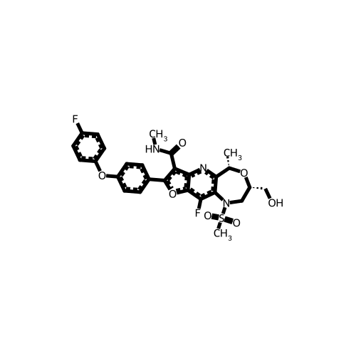 CNC(=O)c1c(-c2ccc(Oc3ccc(F)cc3)cc2)oc2c(F)c3c(nc12)[C@H](C)O[C@H](CO)CN3S(C)(=O)=O